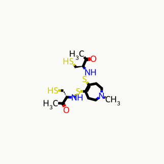 CC(=O)[C@H](CS)NSC1=C(SN[C@@H](CS)C(C)=O)CCN(C)CC1